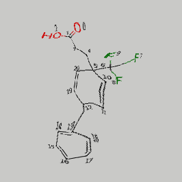 O=C(O)CCC1(C(F)(F)F)C=CC(c2ccccc2)C=C1